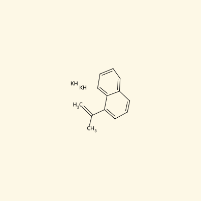 C=C(C)c1cccc2ccccc12.[KH].[KH]